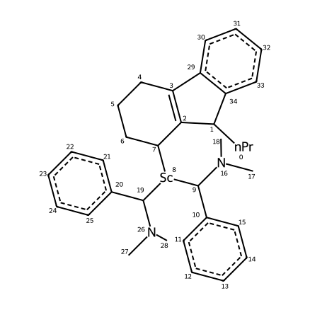 CCCC1C2=C(CCC[CH]2[Sc]([CH](c2ccccc2)N(C)C)[CH](c2ccccc2)N(C)C)c2ccccc21